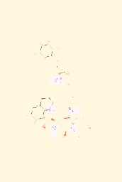 Cc1cnc2c(S(=O)(=O)NCC(=O)N3CCC(C)C[C@H]3C(=O)NCCCCNC(=O)OCc3ccccc3)cccc2c1